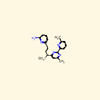 CCOC(=O)C(CCc1cccc(N)n1)c1cc(C)nc(-c2cccc(C)n2)n1